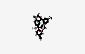 COc1cccc(-c2cc(=O)n(C)c3ccc([C@](O)(c4ccc(C#N)cc4)c4cncn4C)cc23)c1